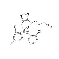 CCCCSc1ncnn1C[C@]1(c2ccc(F)cc2F)O[C@@H]1c1ccccc1Cl